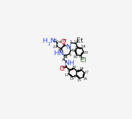 CCC(CN1CC[C@@H](CNC(=O)c2ccc3ccccc3c2)N[C@@H](CCN)C1=O)c1ccc(Cl)cc1